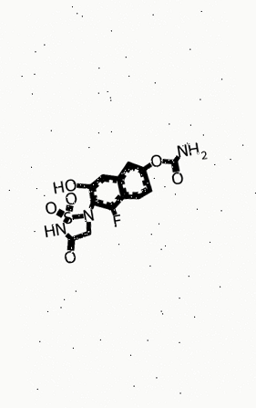 NC(=O)Oc1ccc2c(F)c(N3CC(=O)NS3(=O)=O)c(O)cc2c1